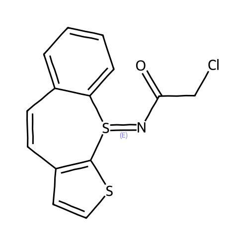 O=C(CCl)/N=S1\c2ccccc2C=Cc2ccsc21